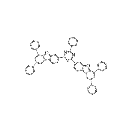 c1ccc(-c2cc(-c3ccccc3)c3oc4cc(-c5nc(-c6ccccc6)nc(-c6ccc7c(c6)oc6c(-c8ccccc8)cc(-c8ccccc8)cc67)n5)ccc4c3c2)cc1